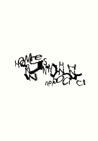 CCCO[C@H]1CN(c2nc(-c3nccn3CCOC)c(C(=O)O)s2)CC[C@H]1NC(=O)c1[nH]c(C)c(Cl)c1Cl